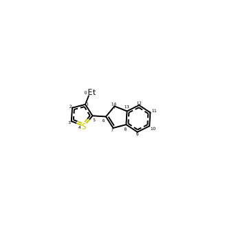 CCc1ccsc1C1=Cc2ccccc2[CH]1